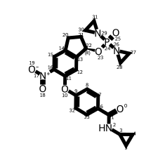 O=C(NC1CC1)c1ccc(Oc2cc3c(cc2[N+](=O)[O-])CC[C@H]3OP(=O)(N2CC2)N2CC2)cc1